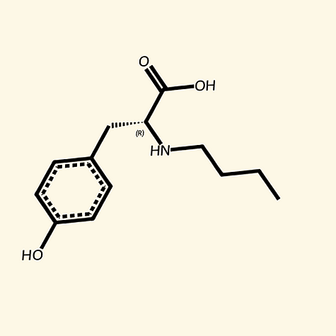 CCCCN[C@H](Cc1ccc(O)cc1)C(=O)O